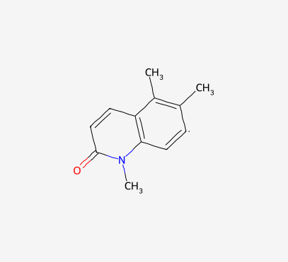 Cc1[c]cc2c(ccc(=O)n2C)c1C